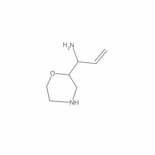 C=CC(N)C1CNCCO1